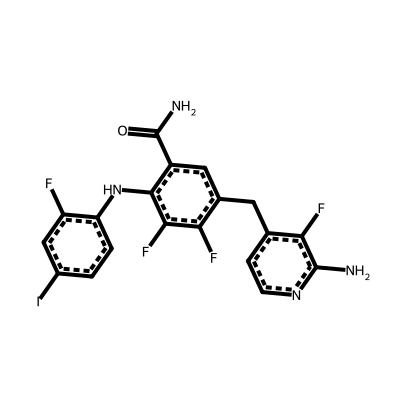 NC(=O)c1cc(Cc2ccnc(N)c2F)c(F)c(F)c1Nc1ccc(I)cc1F